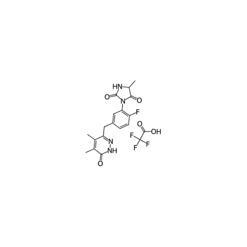 Cc1c(Cc2ccc(F)c(N3C(=O)NC(C)C3=O)c2)n[nH]c(=O)c1C.O=C(O)C(F)(F)F